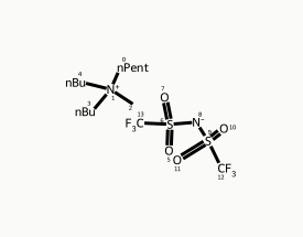 CCCCC[N+](C)(CCCC)CCCC.O=S(=O)([N-]S(=O)(=O)C(F)(F)F)C(F)(F)F